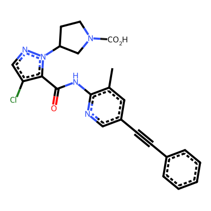 Cc1cc(C#Cc2ccccc2)cnc1NC(=O)c1c(Cl)cnn1C1CCN(C(=O)O)C1